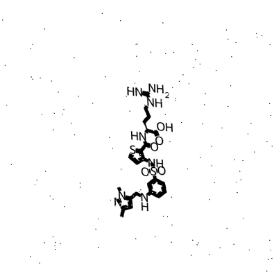 Cc1cc(CNc2cccc(S(=O)(=O)Nc3ccsc3C(=O)N[C@@H](CCCNC(=N)N)C(=O)O)c2)n(C)n1